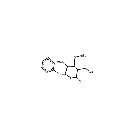 CCCCOC1C(C)OC(Sc2ccccc2)C(OC(C)=O)C1OCCCC